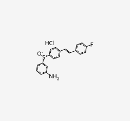 Cl.Nc1cccc([S+]([O-])c2ccc(C=Cc3ccc(F)cc3)cc2)c1